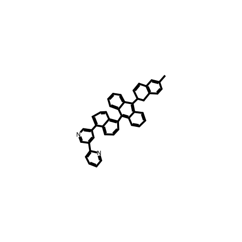 Cc1ccc2c(c1)C=CC(c1c3ccccc3c(-c3cccc4c(-c5cncc(-c6ccccn6)c5)cccc34)c3ccccc13)C2